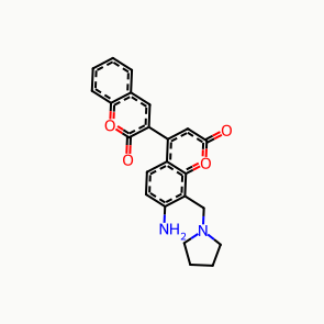 Nc1ccc2c(-c3cc4ccccc4oc3=O)cc(=O)oc2c1CN1CCCC1